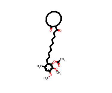 COc1cc(C)c(CCCCCCCCCC(=O)C2CCCCCCCCCCC2=O)c(OC(C)=O)c1OC